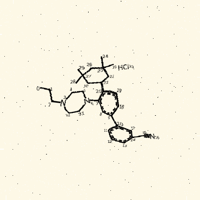 CCCN1CCN(c2cc(-c3cccc(C#N)c3)ccc2C2CC(C)(C)CC(C)(C)C2)CC1.Cl